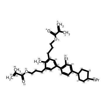 C=C(C)C(=O)OCCCc1cc(-c2ccc(C3CCC(CCC)CC3)cc2CC)cc(CCCOC(=O)C(=C)C)c1C